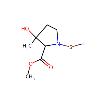 COC(=O)C1N(SI)CCC1(C)O